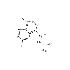 CC[C@H](N[S+]([O-])C(C)(C)C)c1cnc(C)c2cnc(Cl)cc12